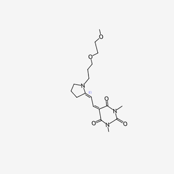 COCCOCCCN1CCC/C1=C\C=C1C(=O)N(C)C(=O)N(C)C1=O